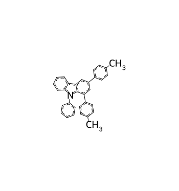 Cc1ccc(-c2cc(-c3ccc(C)cc3)c3c(c2)c2ccccc2n3-c2ccccc2)cc1